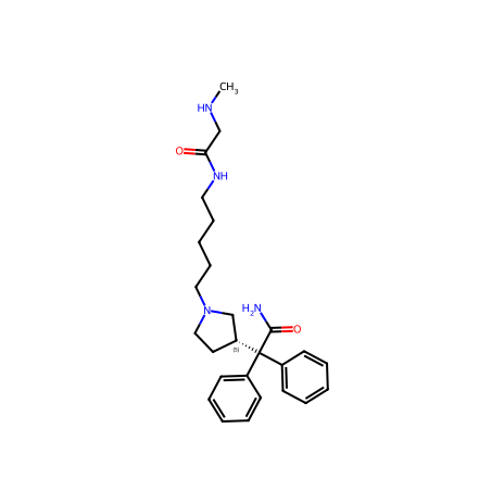 CNCC(=O)NCCCCCN1CC[C@@H](C(C(N)=O)(c2ccccc2)c2ccccc2)C1